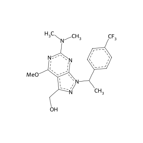 COc1nc(N(C)C)nc2c1c(CO)nn2C(C)c1ccc(C(F)(F)F)cc1